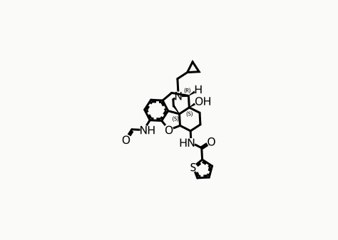 O=CNc1ccc2c3c1OC1C(NC(=O)c4cccs4)CC[C@@]4(O)[C@@H](C2)N(CC2CC2)CC[C@]314